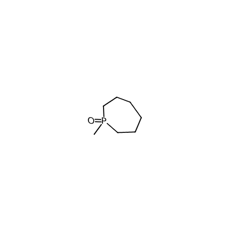 CP1(=O)CCCCCC1